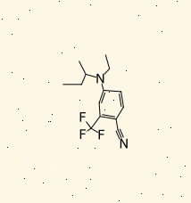 CCC(C)N(CC)c1ccc(C#N)c(C(F)(F)F)c1